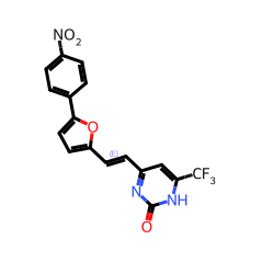 O=c1nc(/C=C/c2ccc(-c3ccc([N+](=O)[O-])cc3)o2)cc(C(F)(F)F)[nH]1